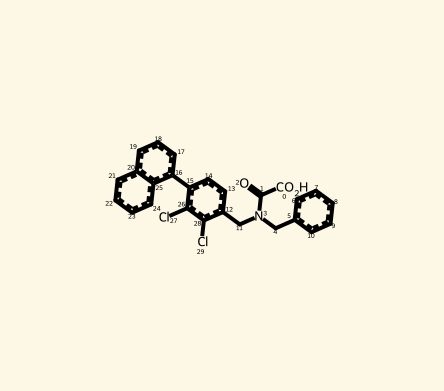 O=C(O)C(=O)N(Cc1ccccc1)Cc1ccc(-c2cccc3ccccc23)c(Cl)c1Cl